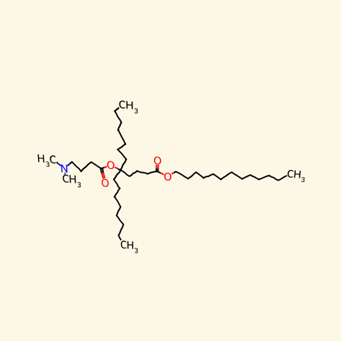 CCCCCCCCCCCCCOC(=O)CCCC(CCCCCCC)(CCCCCCCC)OC(=O)CCCN(C)C